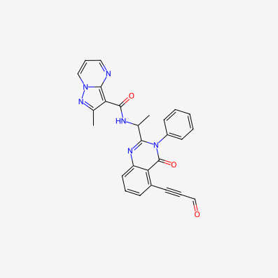 Cc1nn2cccnc2c1C(=O)NC(C)c1nc2cccc(C#CC=O)c2c(=O)n1-c1ccccc1